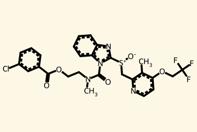 Cc1c(OCC(F)(F)F)ccnc1C[S+]([O-])c1nc2ccccc2n1C(=O)N(C)CCOC(=O)c1cccc(Cl)c1